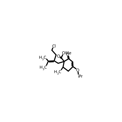 COC(=O)C1(CC(CCCl)=C(C)C)C(=O)C=C(OC(C)C)CC1C